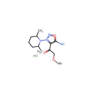 CCCCOCC(=O)c1c([NH-])on[n+]1N1C(C)CCCC1C.Cl